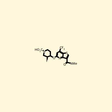 CNC(=O)c1csc2c(C(F)(F)F)cc(OC3CCN(C(=O)O)CC3F)nc12